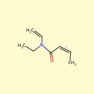 C=CN(CC)C(=O)/C=C\C